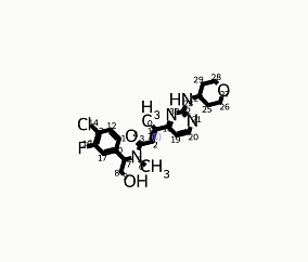 C/C(=C\C(=O)N(C)C(CO)c1ccc(Cl)c(F)c1)c1ccnc(NC2CCOCC2)n1